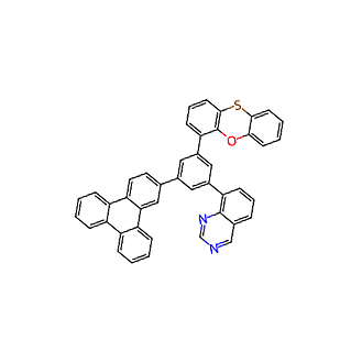 c1ccc2c(c1)Oc1c(cccc1-c1cc(-c3ccc4c5ccccc5c5ccccc5c4c3)cc(-c3cccc4cncnc34)c1)S2